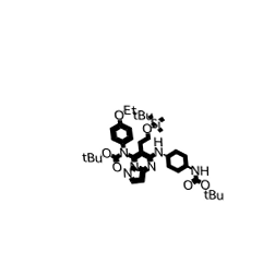 CCOc1ccc(N(C(=O)OC(C)(C)C)c2c(CCO[Si](C)(C)C(C)(C)C)c(N[C@H]3CC[C@H](NC(=O)OC(C)(C)C)CC3)nc3ccnn23)cc1